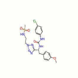 COc1ccc(CC(NC(=O)Nc2ccc(Cl)cc2)c2nnn(CCNS(C)(=O)=O)n2)cc1